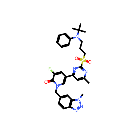 Cc1cc(-c2cc(F)c(=O)n(Cc3ccc4nnn(C)c4c3)c2)nc(S(=O)(=O)CCCN(c2ccccc2)C(C)(C)C)n1